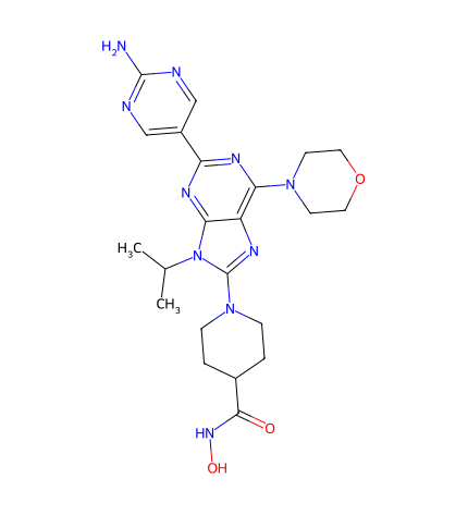 CC(C)n1c(N2CCC(C(=O)NO)CC2)nc2c(N3CCOCC3)nc(-c3cnc(N)nc3)nc21